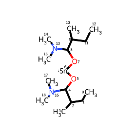 CCC(C)C([O][Sn][O]C(C(C)CC)N(C)C)N(C)C